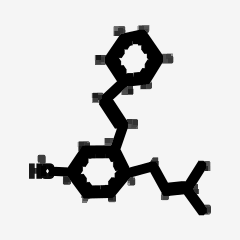 CC(C)=CCc1ccc(O)cc1/C=C/c1ccccc1